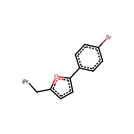 CC(C)Cc1ccc(-c2ccc(Br)cc2)o1